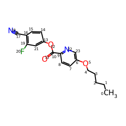 CCCCCOc1ccc(C(=O)Oc2ccc(C#N)c(F)c2)nc1